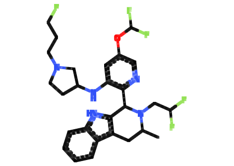 CC1Cc2c([nH]c3ccccc23)C(c2ncc(OC(F)F)cc2NC2CCN(CCCF)C2)N1CC(F)F